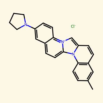 Cc1ccc2c(ccc3c[n+]4c5ccc(N6CCCC6)cc5ccc4n32)c1.[Cl-]